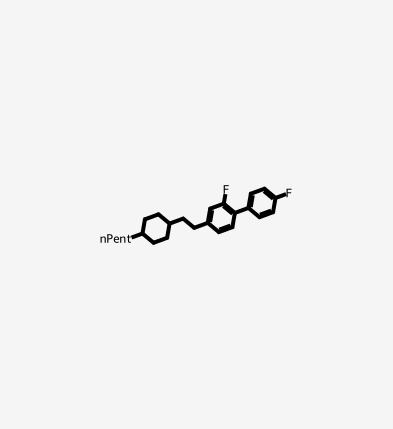 CCCCCC1CCC(CCc2ccc(-c3ccc(F)cc3)c(F)c2)CC1